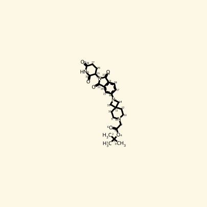 CC(C)(C)OC(=O)CN1CCC2(CC1)CN(c1ccc3c(c1)C(=O)N(C1CCC(=O)NC1=O)C3=O)C2